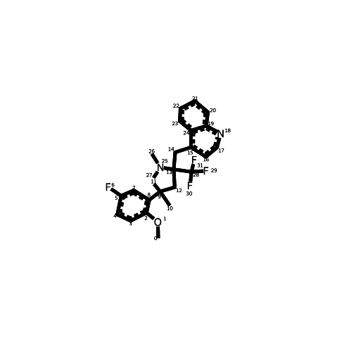 COc1ccc(F)cc1C(C)(C)CC(Cc1ccnc2ccccc12)(N(C)C)C(F)(F)F